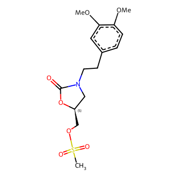 COc1ccc(CCN2C[C@@H](COS(C)(=O)=O)OC2=O)cc1OC